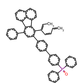 C=C/C=C\C(=C/C)c1c(-c2ccc(-c3ccc(P(=O)(c4ccccc4)c4ccccc4)cc3)cc2)cc(-c2ccccc2)c2c1-c1cccc3cccc-2c13